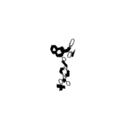 COC(=O)c1cc2ccccc2cc1OCCN1CCN(C(=O)OC(C)(C)C)CC1